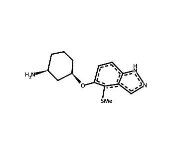 CSc1c(O[C@@H]2CCC[C@H](N)C2)ccc2[nH]ncc12